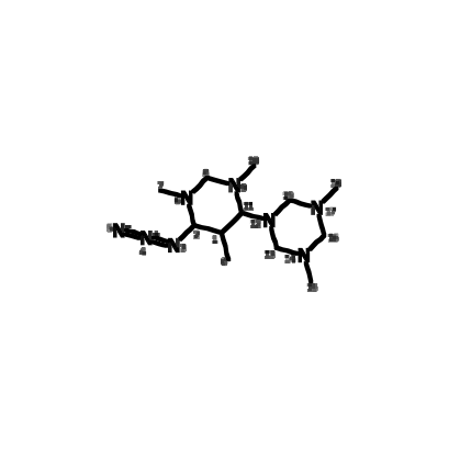 CC1C(N=[N+]=[N-])N(C)CN(C)C1N1CN(C)CN(C)C1